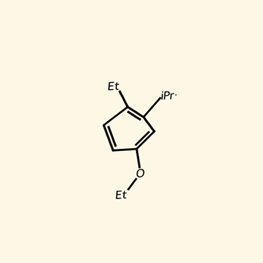 CCOc1ccc(CC)c([C](C)C)c1